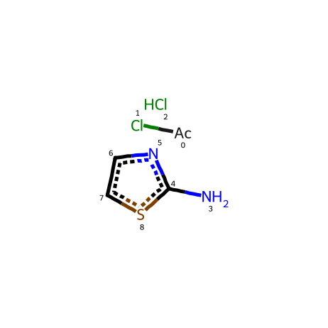 CC(=O)Cl.Cl.Nc1nccs1